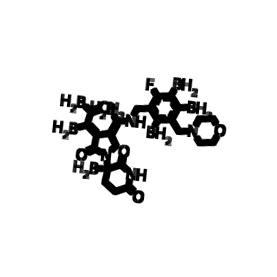 BC(=C)/C(B)=C1/C(=O)N(C2(B)CCC(=O)NC2=O)C/C1=C(/B)NCc1c(B)c(CN2CCOCC2)c(B)c(B)c1F